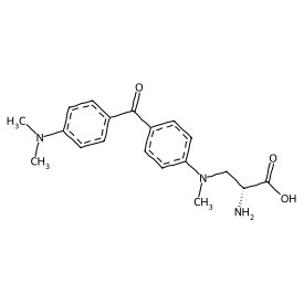 CN(C)c1ccc(C(=O)c2ccc(N(C)C[C@@H](N)C(=O)O)cc2)cc1